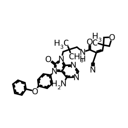 CC(C)(CNC(=O)/C(C#N)=C\C1(C)COC1)Cn1c(=O)n(-c2ccc(Oc3ccccc3)cc2)c2c(N)ncnc21